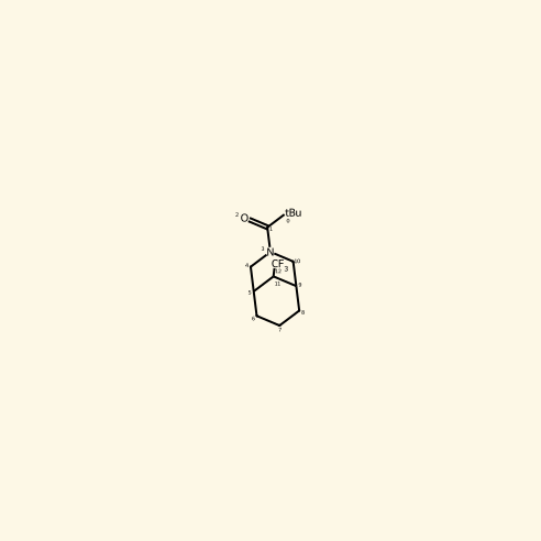 CC(C)(C)C(=O)N1CC2CCCC(C1)C2C(F)(F)F